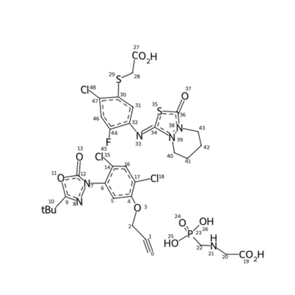 C#CCOc1cc(-n2nc(C(C)(C)C)oc2=O)c(Cl)cc1Cl.O=C(O)CNCP(=O)(O)O.O=C(O)CSc1cc(N=c2sc(=O)n3n2CCCC3)c(F)cc1Cl